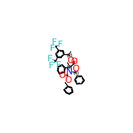 C[C@@H](OC[C@@]1(c2ccccc2)C(=O)O[C@H](c2ccccc2)N1C(=O)OCc1ccccc1)c1cc(C(F)(F)F)cc(C(F)(F)F)c1